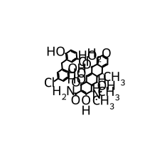 C[C@H]1c2cccc(O)c2C(=O)C2=C(O)[C@]3(O)C(=O)C(C(N)=O)=C(O)[C@@H](N(C)C)[C@@H]3[C@@H](O)[C@@H]21.O.Oc1ccc(Cl)cc1Cc1cc(Cl)ccc1O